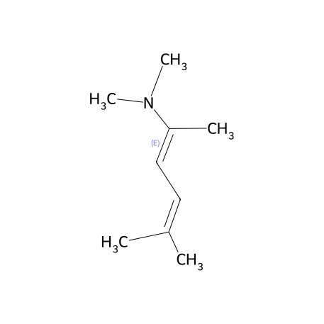 CC(C)=C/C=C(\C)N(C)C